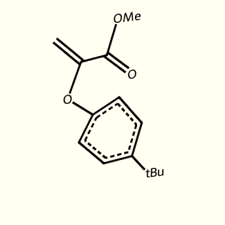 C=C(Oc1ccc(C(C)(C)C)cc1)C(=O)OC